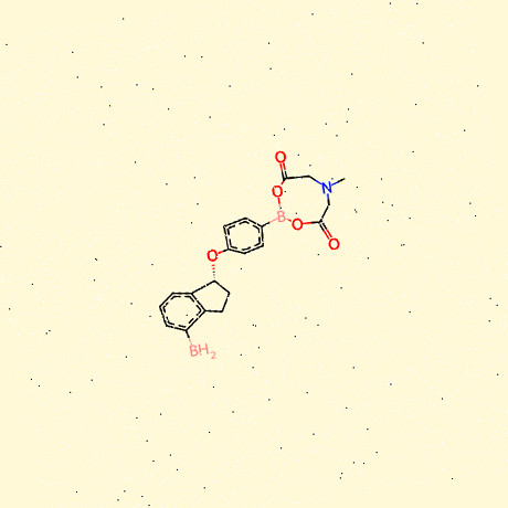 Bc1cccc2c1CC[C@H]2Oc1ccc(B2OC(=O)CN(C)CC(=O)O2)cc1